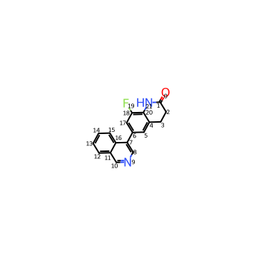 O=C1CCc2cc(-c3cncc4ccccc34)cc(F)c2N1